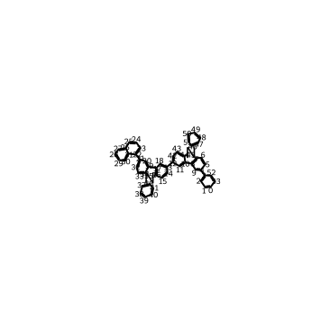 c1ccc(-c2ccc3c(c2)c2cc(-c4ccc5c(c4)c4cc(-c6cccc7ccccc67)ccc4n5-c4ccccc4)ccc2n3-c2ccccc2)cc1